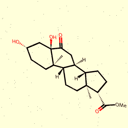 COC(=O)[C@H]1CC[C@H]2[C@@H]3CC(=O)[C@@]4(O)C[C@@H](O)CC[C@]4(C)[C@H]3CC[C@]12C